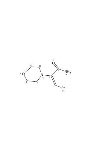 CCC=C(C(N)=O)N1CCOCC1